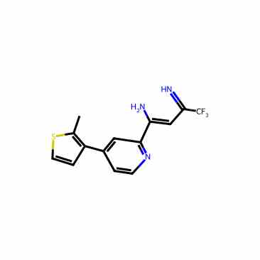 Cc1sccc1-c1ccnc(/C(N)=C/C(=N)C(F)(F)F)c1